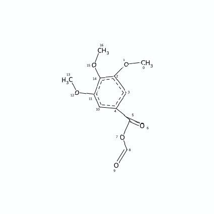 COc1cc(C(=O)OC=O)cc(OC)c1OC